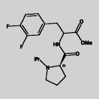 COC(=O)C(Cc1ccc(F)c(F)c1)NC(=O)[C@H]1CCCN1C(C)C